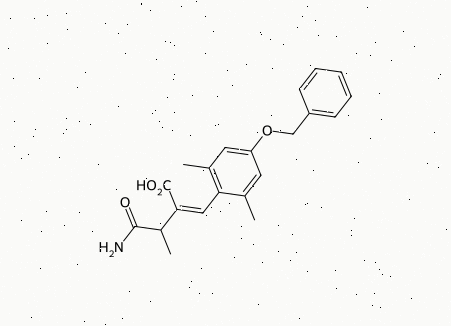 Cc1cc(OCc2ccccc2)cc(C)c1C=C(C(=O)O)C(C)C(N)=O